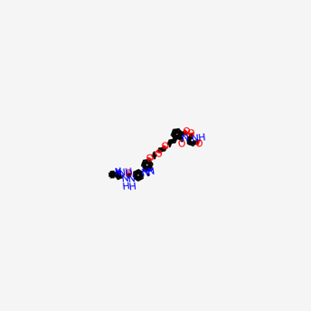 CC(C)(C)c1cc(NC(=O)Nc2ccc(-n3cnc4cc(OCCOCCOCCCc5cccc6c5C(=O)N(C5CCC(=O)NC5=O)C6=O)ccc43)cc2)[nH]n1